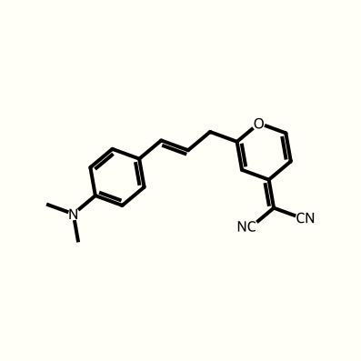 CN(C)c1ccc(C=CCC2=CC(=C(C#N)C#N)C=CO2)cc1